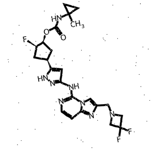 CC1(NC(=O)O[C@H]2C[C@@H](c3cc(Nc4nccc5nc(CN6CC(F)(F)C6)cn45)n[nH]3)C[C@H]2F)CC1